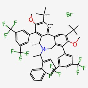 COC1=C(C(C)(C)C)[C+]=C2C(=C1c1cc(C(F)(F)F)cc(C(F)(F)F)c1)[C@@H](C)N(C(C)c1cccc3ccccc13)Cc1c2cc(C(C)(C)C)c(OC)c1-c1cc(C(F)(F)F)cc(C(F)(F)F)c1.[Br-]